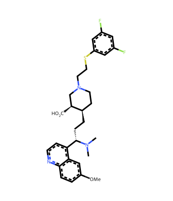 COc1ccc2nccc([C@H](CC[C@@H]3CCN(CCSc4cc(F)cc(F)c4)C[C@@H]3C(=O)O)N(C)C)c2c1